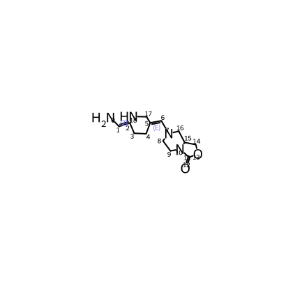 N/C=C1/CC/C(=C\N2CCN3C(=O)OCC3C2)CN1